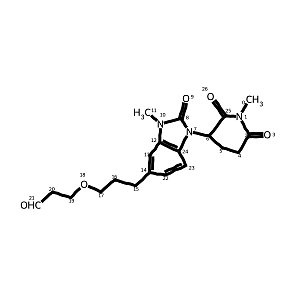 CN1C(=O)CCC(n2c(=O)n(C)c3cc(CCCOCCC=O)ccc32)C1=O